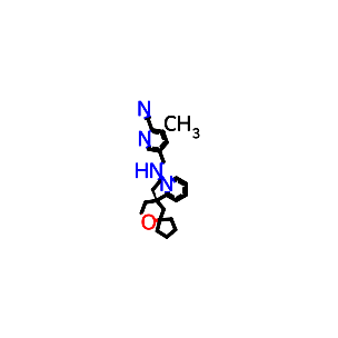 Cc1cc(CNCC[C@]2(c3ccccn3)CCOC3(CCCC3)C2)cnc1C#N